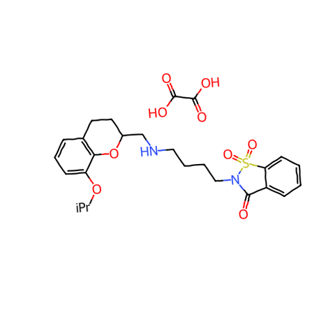 CC(C)Oc1cccc2c1OC(CNCCCCN1C(=O)c3ccccc3S1(=O)=O)CC2.O=C(O)C(=O)O